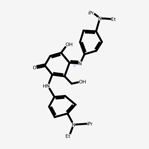 CCN(c1ccc(/N=C2\C(O)=CC(=O)C(Nc3ccc(N(CC)C(C)C)cc3)=C2CO)cc1)C(C)C